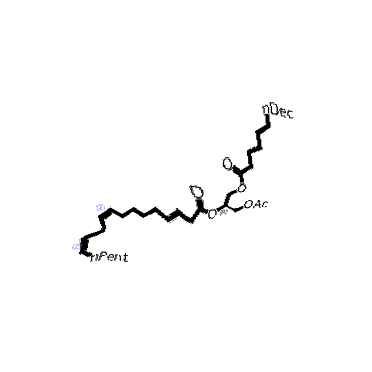 CCCCC/C=C\C/C=C\CCCCCCCC(=O)O[C@H](COC(C)=O)COC(=O)CCCCCCCCCCCCCCC